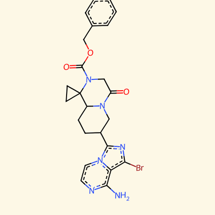 Nc1nccn2c(C3CCC4N(C3)C(=O)CN(C(=O)OCc3ccccc3)C43CC3)nc(Br)c12